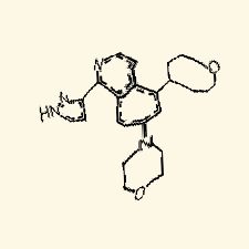 c1cc2c(C3CCOCC3)cc(N3CCOCC3)cc2c(-c2cc[nH]n2)n1